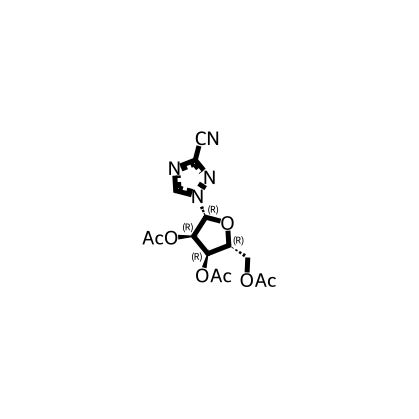 CC(=O)OC[C@H]1O[C@@H](n2cnc(C#N)n2)[C@H](OC(C)=O)[C@@H]1OC(C)=O